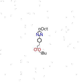 CCCCCCCCc1cnc(-c2ccc(CCC(=O)OCC(C)CC)cc2)nc1